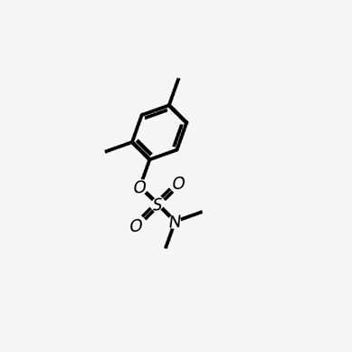 Cc1ccc(OS(=O)(=O)N(C)C)c(C)c1